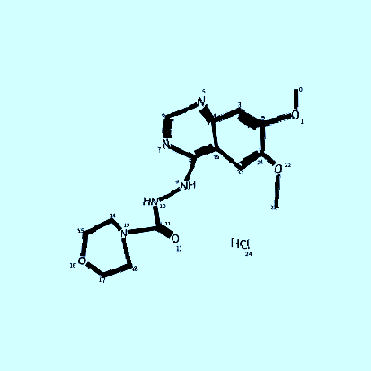 COc1cc2ncnc(NNC(=O)N3CCOCC3)c2cc1OC.Cl